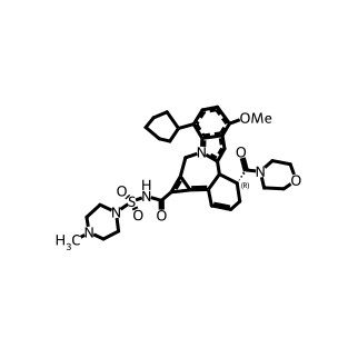 COc1ccc(C2CCCCC2)c2c1cc1n2CC2=C(C(=O)NS(=O)(=O)N3CCN(C)CC3)C2=C2C=CC[C@@H](C(=O)N3CCOCC3)C21